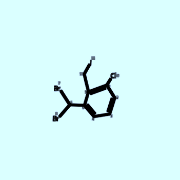 Clc1cccc(C(Br)Br)c1CI